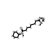 CN(C(=O)CCCCCCc1nnnn1C)C1CCCCC1